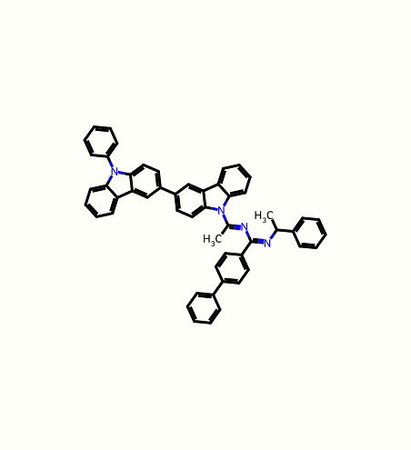 C/C(=N\C(=N/C(C)c1ccccc1)c1ccc(-c2ccccc2)cc1)n1c2ccccc2c2cc(-c3ccc4c(c3)c3ccccc3n4-c3ccccc3)ccc21